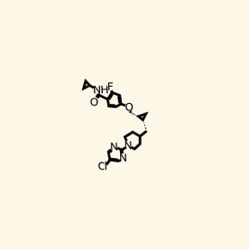 O=C(NC1CC1)c1ccc(OC[C@@H]2C[C@@H]2CC2CCN(c3ncc(Cl)cn3)CC2)cc1F